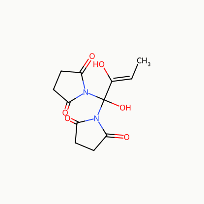 CC=C(O)C(O)(N1C(=O)CCC1=O)N1C(=O)CCC1=O